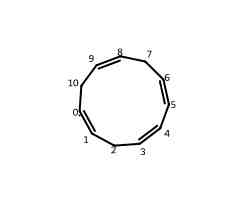 [C]1=CCC=CC=CCC=CC1